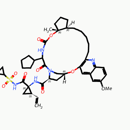 C=C[C@@H]1C[C@]1(NC(=O)[C@@H]1C[C@@H]2CN1C(=O)C(C1CCCC1)NC(=O)O[C@]1(C)CCC[C@H]1CCCCCc1nc3ccc(OC)cc3cc1O2)C(=O)NS(=O)(=O)C1CC1